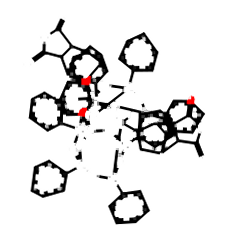 C[Si]1(C2CC3CC2C2C(=O)OC(=O)C32)O[Si]2(c3ccccc3)O[Si]3(c4ccccc4)O[Si]4(c5ccccc5)O[Si](c5ccccc5)(O[Si]5(c6ccccc6)O[Si](c6ccccc6)(O2)O[Si](c2ccccc2)(O3)O[Si](C)(C2CC3CC2C2C(=O)OC(=O)C32)O[Si](c2ccccc2)(O4)O5)O1